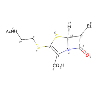 CCC1C(=O)N2C(C(=O)O)=C(SCCNC(C)=O)S[C@@H]12